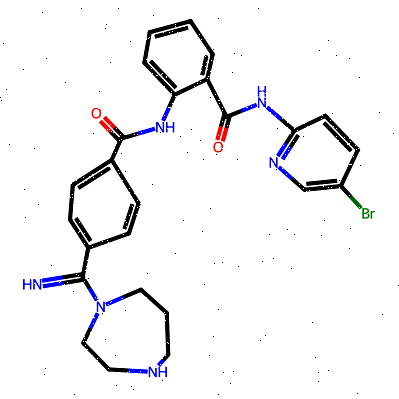 N=C(c1ccc(C(=O)Nc2ccccc2C(=O)Nc2ccc(Br)cn2)cc1)N1CCCNCC1